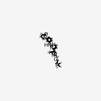 C[Si](C)(C)CCOCn1cc(-c2ccnc(Nc3cccc(N4CCCC4=O)c3)n2)c(I)n1